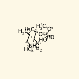 C=CCN.C=CCN.COS(=O)(=O)O.Cl